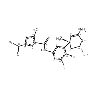 C[C@]1(c2cc(NC(=O)c3nn(C(F)F)cc3Cl)cc(F)c2F)C[C@@H](C(F)(F)F)OC(N)=N1